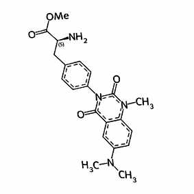 COC(=O)[C@@H](N)Cc1ccc(-n2c(=O)c3cc(N(C)C)ccc3n(C)c2=O)cc1